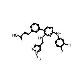 Cn1cc(CNc2nc(Nc3ccc(F)c(Cl)c3)ncc2-c2cccc(/C=C/C(=O)O)c2)cn1